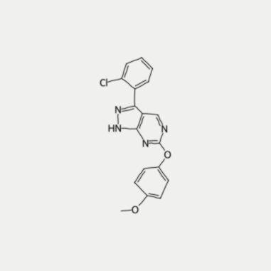 COc1ccc(Oc2ncc3c(-c4ccccc4Cl)n[nH]c3n2)cc1